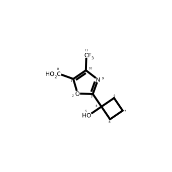 O=C(O)c1oc(C2(O)CCC2)nc1C(F)(F)F